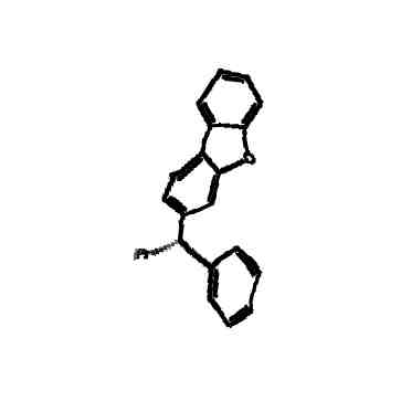 CC(C)[C@@H](c1ccccc1)c1ccc2c(c1)oc1ccccc12